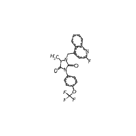 CC1C(=O)N(c2ccc(OC(F)(F)F)cc2)C(=O)N1Cc1cc(F)nc2ccccc12